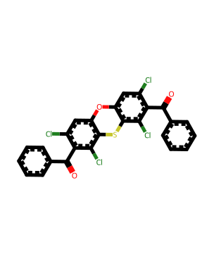 O=C(c1ccccc1)c1c(Cl)cc2c(c1Cl)Sc1c(cc(Cl)c(C(=O)c3ccccc3)c1Cl)O2